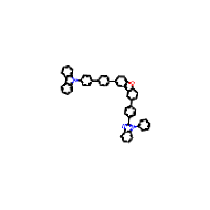 c1ccc(-n2c(-c3ccc(-c4ccc5oc6ccc(-c7ccc(-c8ccc(-n9c%10ccccc%10c%10ccccc%109)cc8)cc7)cc6c5c4)cc3)nc3ccccc32)cc1